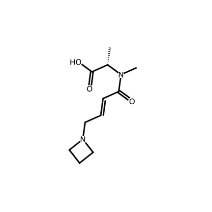 C[C@@H](C(=O)O)N(C)C(=O)/C=C/CN1CCC1